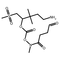 CN(OC(=O)OC(CS(C)(=O)=O)C(C)(C)CCN)C(=O)CCC=O